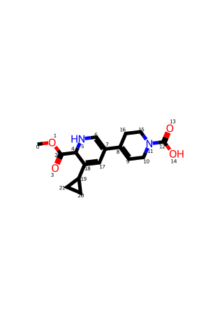 COC(=O)C1NC=C(C2=CCN(C(=O)O)CC2)C=C1C1CC1